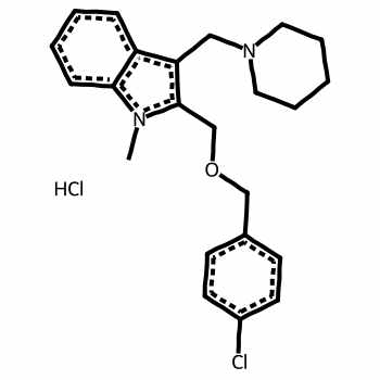 Cl.Cn1c(COCc2ccc(Cl)cc2)c(CN2CCCCC2)c2ccccc21